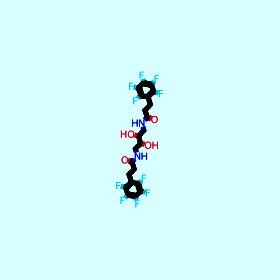 O=C(CCc1c(F)c(F)c(F)c(F)c1F)NCC(O)C(O)CNC(=O)CCc1c(F)c(F)c(F)c(F)c1F